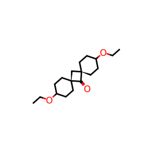 CCOC1CC[C@]2(CC1)C[C@@]1(CCC(OCC)CC1)C2=O